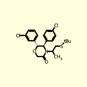 CC(CSC(C)(C)C)N1C(=O)CO[C@H](c2cccc(Cl)c2)[C@H]1c1ccc(Cl)cc1